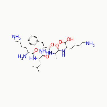 CC(C)C[C@H](NC(=O)[C@@H](N)CCCCN)C(=O)N[C@@H](Cc1ccccc1)C(=O)N[C@@H](C)C(=O)N[C@@H](CCCCN)C(=O)O